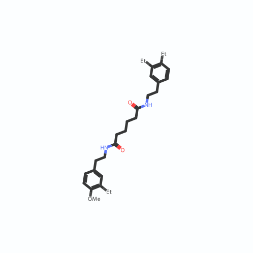 CCc1ccc(CCNC(=O)CCCCC(=O)NCCc2ccc(OC)c(CC)c2)cc1CC